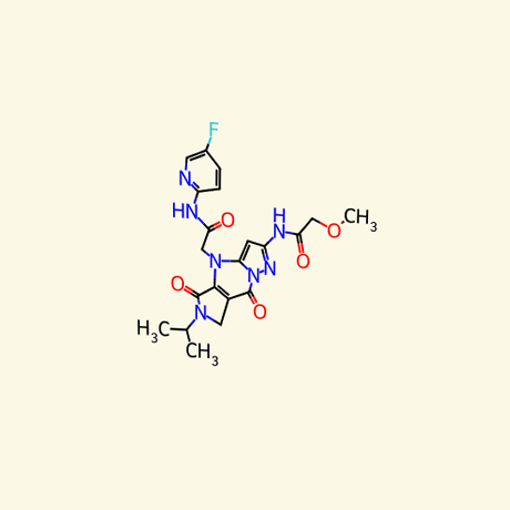 COCC(=O)Nc1cc2n(CC(=O)Nc3ccc(F)cn3)c3c(c(=O)n2n1)CN(C(C)C)C3=O